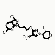 O=[N+]([O-])c1cn([C@@H]2CCOC[C@H]2F)nc1OCCCn1nc(Cl)c2cnc(Cl)nc21